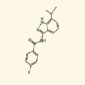 CC(C)c1cccc2c(NC(=O)c3ccc(F)cc3)n[nH]c12